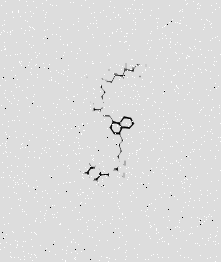 CCCCCCN(CCCN[C@@H](CCc1ccc(CCCCNC(=N)NC(=O)c2nc(Cl)c(N)nc2N)c2ccccc12)C(N)=O)C[C@H](O)[C@@H](O)[C@H](O)[C@H](O)CO